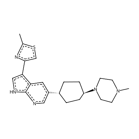 Cc1nc(-c2c[nH]c3ncc([C@H]4CC[C@H](N5CCN(C)CC5)CC4)cc23)cs1